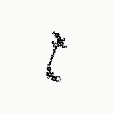 CN(C)c1ccc(CNC(=O)[C@@H]2C[C@@H](O)CN2C(=O)[C@@H](NC(=O)COCCCOCCCCCOc2ccc(N3C(=S)N(c4ccc(C#N)c(C(F)(F)F)c4)C(=O)C3(C)C)cc2)C(C)(C)C)cn1